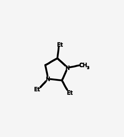 CCC1CN(CC)C(CC)N1C